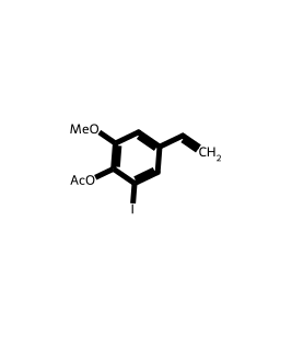 C=Cc1cc(I)c(OC(C)=O)c(OC)c1